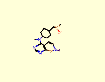 CN(c1ncnc2c1C=CN(I)S2)C1CCC(C[S+](C)[O-])CC1